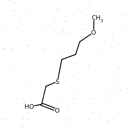 COCCCSCC(=O)O